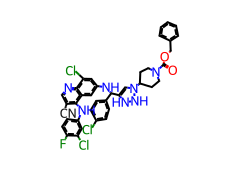 N#Cc1cnc2c(Cl)cc(NC(C3=CN(C4CCN(C(=O)OCc5ccccc5)CC4)NN3)c3ccc(Cl)cc3)cc2c1Nc1ccc(F)c(Cl)c1